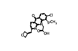 CSc1c(Cl)ccc2c(=O)c3ccc(C=C4COC4)nc3n(CC(=O)O)c12